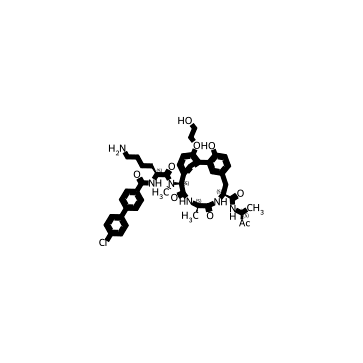 CC(=O)[C@H](C)NC(=O)[C@@H]1Cc2ccc(O)c(c2)-c2cc(ccc2OCCO)[C@H](N(C)C(=O)[C@H](CCCCN)NC(=O)c2ccc(-c3ccc(Cl)cc3)cc2)C(=O)N[C@@H](C)C(=O)N1